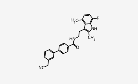 Cc1[nH]c2c(F)ccc(C)c2c1CCNC(=O)c1ccc(-c2cccc(CC#N)c2)cc1